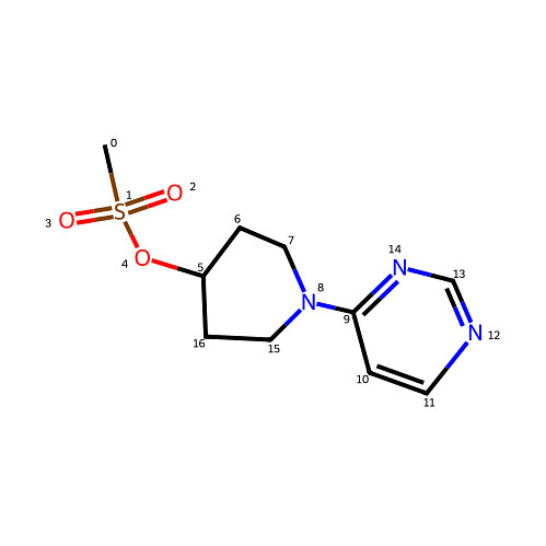 CS(=O)(=O)OC1CCN(c2ccncn2)CC1